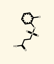 O=C(O)CCS(=O)(=O)Oc1ccccc1Cl